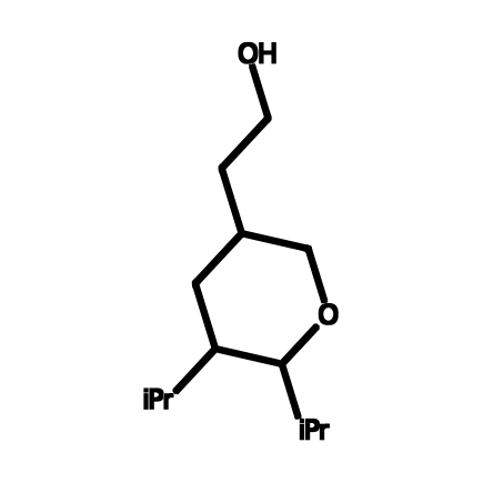 CC(C)C1CC(CCO)COC1C(C)C